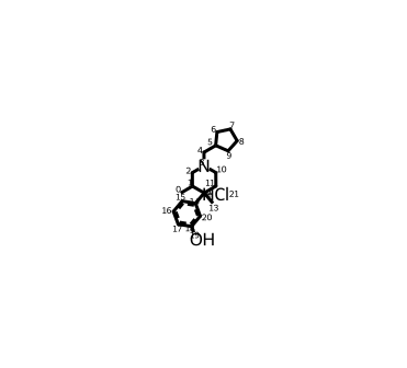 CC1CN(CC2CCCC2)CCC1(C)c1cccc(O)c1.Cl